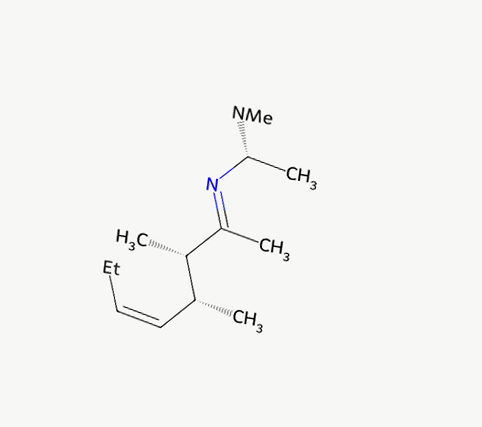 CC/C=C\[C@@H](C)[C@H](C)/C(C)=N/[C@@H](C)NC